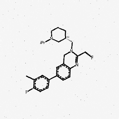 Cc1cc(-c2ccc3c(c2)CN(C[C@H]2CCCN(C(C)C)C2)C(CF)=N3)ccc1F